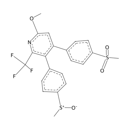 COc1cc(-c2ccc(S(C)(=O)=O)cc2)c(-c2ccc([S+](C)[O-])cc2)c(C(F)(F)F)n1